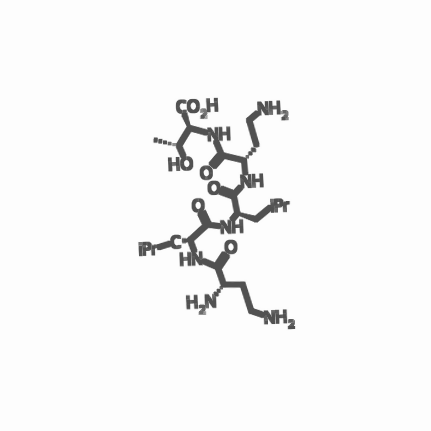 CC(C)C[C@@H](NC(=O)[C@@H](N)CCN)C(=O)N[C@H](CC(C)C)C(=O)N[C@@H](CCN)C(=O)N[C@H](C(=O)O)[C@@H](C)O